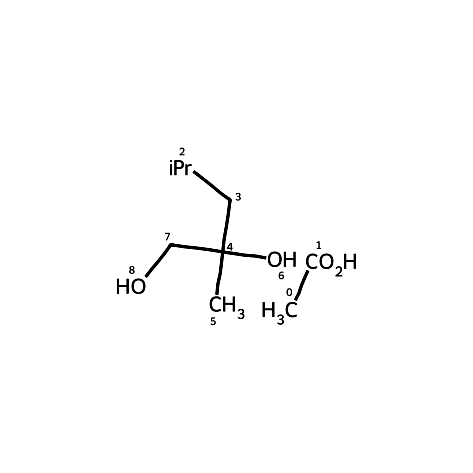 CC(=O)O.CC(C)CC(C)(O)CO